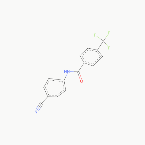 N#Cc1ccc(NC(=O)c2ccc(C(F)(F)F)cc2)cc1